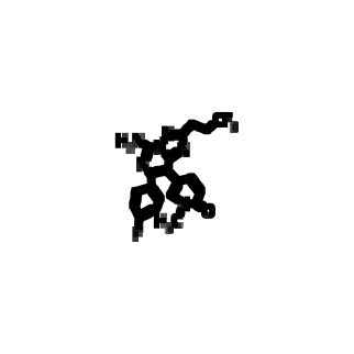 Cn1cc(-c2c(-c3ccc(F)cc3)nc(N)n3nc(CCC(F)(F)F)nc23)ccc1=O